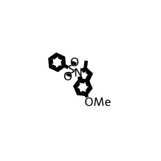 COc1ccc2c(c1)cc(C)n2S(=O)(=O)c1ccccc1